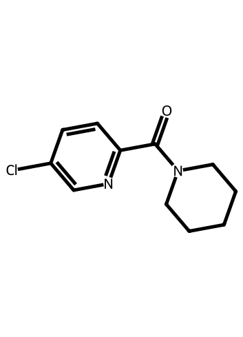 O=C(c1ccc(Cl)cn1)N1CCCCC1